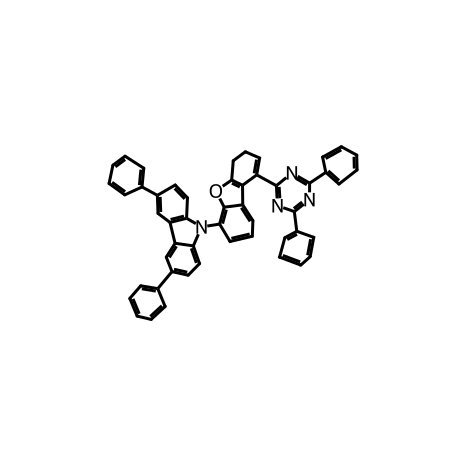 C1=C(c2nc(-c3ccccc3)nc(-c3ccccc3)n2)c2c(oc3c(-n4c5ccc(-c6ccccc6)cc5c5cc(-c6ccccc6)ccc54)cccc23)CC1